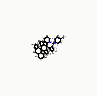 Ic1ccc(N2c3ccccc3C3(C4=C(C=CCC4)C4(c5ccccc5Cc5ccccc54)c4ccccc43)c3ccccc32)cc1